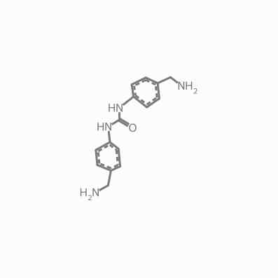 NCc1ccc(NC(=O)Nc2ccc(CN)cc2)cc1